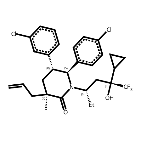 C=CC[C@@]1(C)C[C@H](c2cccc(Cl)c2)[C@@H](c2ccc(Cl)cc2)N([C@@H](CC)C[C@@](O)(C2CC2)C(F)(F)F)C1=O